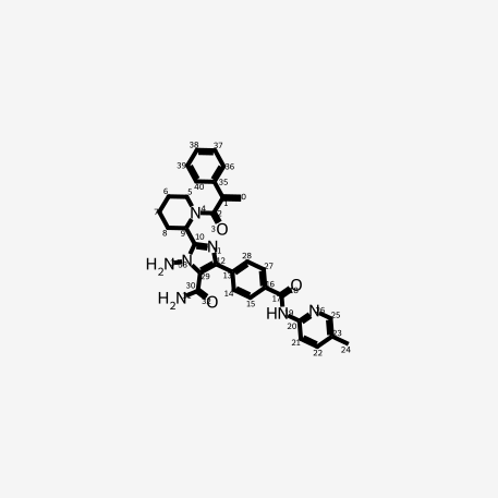 C=C(C(=O)N1CCCCC1c1nc(-c2ccc(C(=O)Nc3ccc(C)cn3)cc2)c(C(N)=O)n1N)c1ccccc1